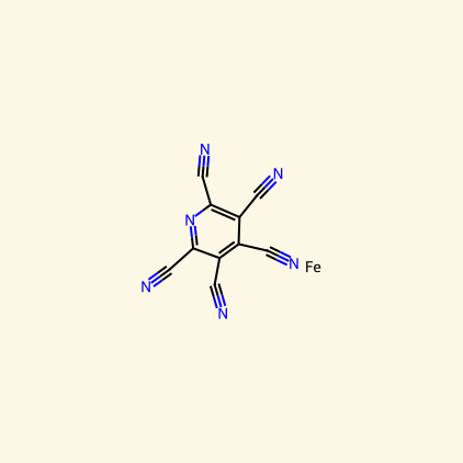 N#Cc1nc(C#N)c(C#N)c(C#N)c1C#N.[Fe]